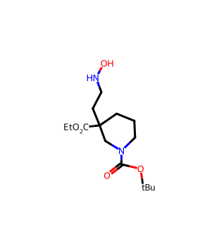 CCOC(=O)C1(CCNO)CCCN(C(=O)OC(C)(C)C)C1